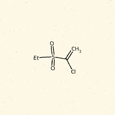 C=C(Cl)S(=O)(=O)CC